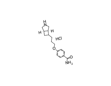 Cl.NC(=O)c1ccc(OCCCC2C[C@H]3CNC[C@@H]23)cc1